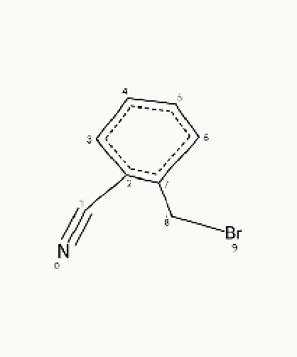 N#Cc1ccccc1[CH]Br